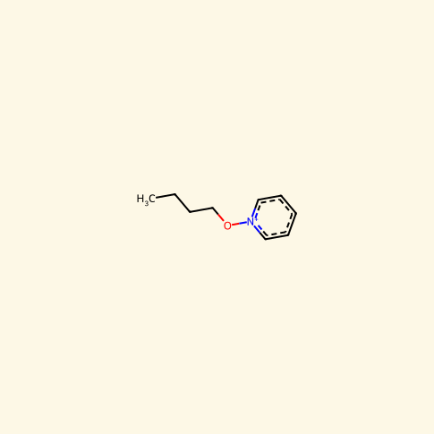 CCCCO[n+]1ccccc1